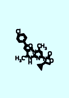 Cc1cc(N2C(=O)OCC2C2CC2)nc(N[C@@H](C)c2cc(-c3ccc(Cl)cc3)on2)n1